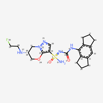 NS(=O)(=NC(=O)Nc1c2c(cc3c1CCC3)CCC2)c1cnn2c1OC[C@H](NCCF)C2